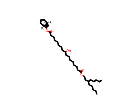 CCCCCC(CCCCC)CCOC(=O)CCCCCCCC(O)CCCCCCCC(=O)OC1C[C@@H]2CCC[C@H]1C2